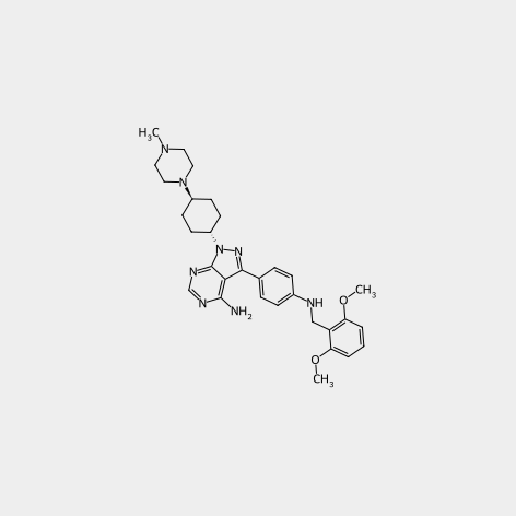 COc1cccc(OC)c1CNc1ccc(-c2nn([C@H]3CC[C@H](N4CCN(C)CC4)CC3)c3ncnc(N)c23)cc1